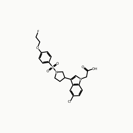 O=C(O)Cn1cc(C2CCN(S(=O)(=O)c3ccc(OCCF)cc3)C2)c2cc(Cl)ccc21